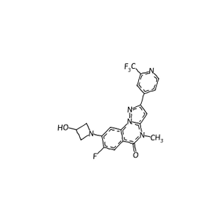 Cn1c(=O)c2cc(F)c(N3CC(O)C3)cc2n2nc(-c3ccnc(C(F)(F)F)c3)cc12